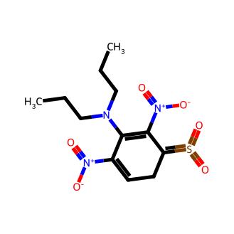 CCCN(CCC)C1=C([N+](=O)[O-])C(=S(=O)=O)CC=C1[N+](=O)[O-]